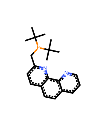 CC(C)(C)P(Cc1ccc2ccc3cccnc3c2n1)C(C)(C)C